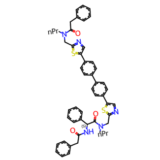 CCCN(Cc1ncc(-c2ccc(-c3ccc(-c4cnc(CN(CCC)C(=O)[C@@H](NC(=O)Cc5ccccc5)c5ccccc5)s4)cc3)cc2)s1)C(=O)Cc1ccccc1